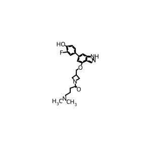 CN(C)CCCC(=O)N1CC(COc2cc(-c3ccc(O)c(F)c3)cc3[nH]ncc23)C1